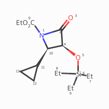 CCOC(=O)N1C(=O)[C@@H](O[Si](CC)(CC)CC)[C@H]1C1CC1